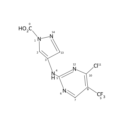 O=C(O)n1cc(Nc2ncc(C(F)(F)F)c(Cl)n2)cn1